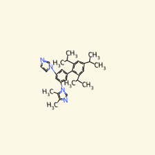 Cc1ncn(-c2cc(-c3c(C(C)C)cc(C(C)C)cc3C(C)C)cc(-n3ccnc3)c2)c1C